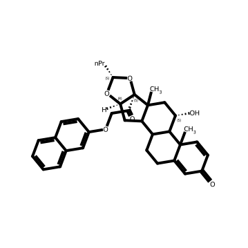 CCC[C@H]1O[C@@H]2CC3C4CCC5=CC(=O)C=CC5(C)C4[C@@H](O)CC3(C)[C@]2(C(=O)COc2ccc3ccccc3c2)O1